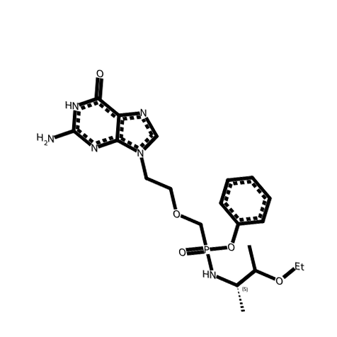 CCOC(C)[C@H](C)NP(=O)(COCCn1cnc2c(=O)[nH]c(N)nc21)Oc1ccccc1